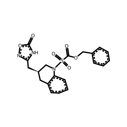 O=C(OCc1ccccc1)S(=O)(=O)N1C[C@H](Cc2noc(=O)[nH]2)Cc2ccccc21